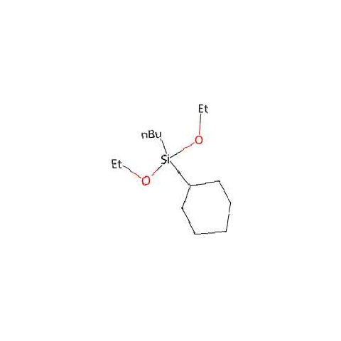 CCCC[Si](OCC)(OCC)C1CCCCC1